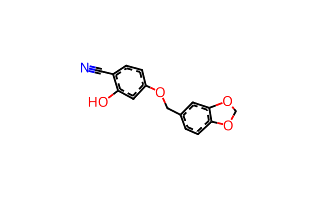 N#Cc1ccc(OCc2ccc3c(c2)OCO3)cc1O